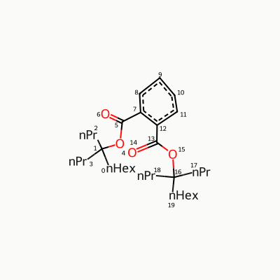 CCCCCCC(CCC)(CCC)OC(=O)c1ccccc1C(=O)OC(CCC)(CCC)CCCCCC